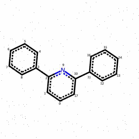 [c]1cc(-c2ccccc2)nc(-c2ccccc2)c1